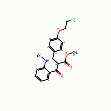 CNc1ccccc1C(=O)C(Cc1ccc(OCCCl)cc1)C(=O)OC